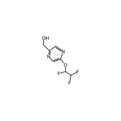 OCc1cnc(OC(F)C(F)F)cn1